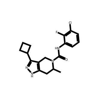 CC1Cc2[nH]nc(C3CCC3)c2CN1C(=O)Nc1cccc(Cl)c1F